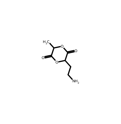 CC1OC(=O)C(CCN)OC1=O